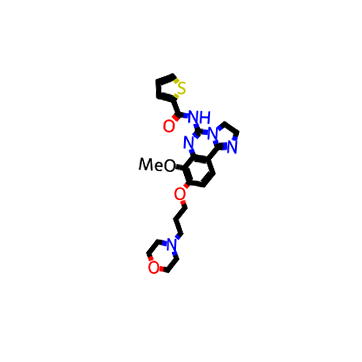 COc1c(OCCCN2CCOCC2)ccc2c1N=C(NC(=O)c1cccs1)N1CCN=C21